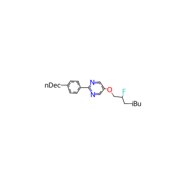 CCCCCCCCCCc1ccc(-c2ncc(OCC(F)CC(C)CC)cn2)cc1